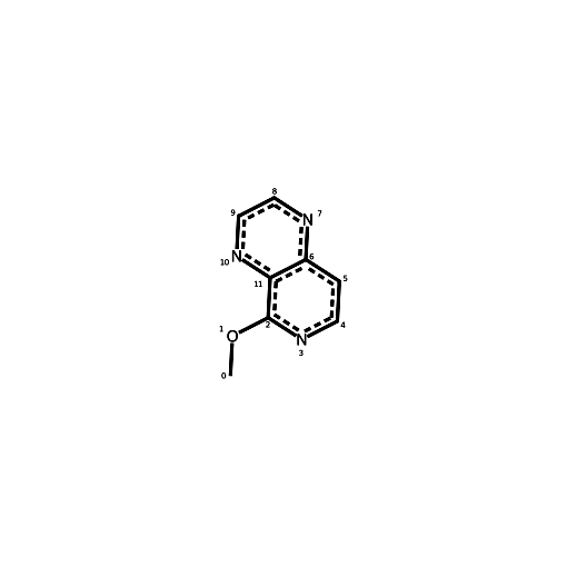 COc1nccc2nccnc12